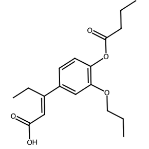 CCCOc1cc(C(=CC(=O)O)CC)ccc1OC(=O)CCC